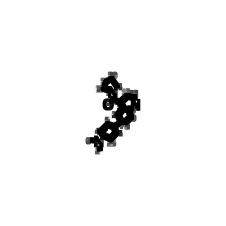 CN(C)c1ccc(-c2ccc3nccc(C(=O)N4CCCC4)c3c2)cc1